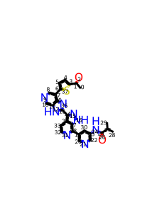 CC(=O)c1ccc(-c2cncc3[nH]c(-c4n[nH]c5c(-c6cncc(NC(=O)C(C)C)c6)nccc45)nc23)s1